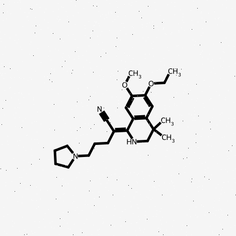 CCOc1cc2c(cc1OC)C(=C(C#N)CCCN1CCCC1)NCC2(C)C